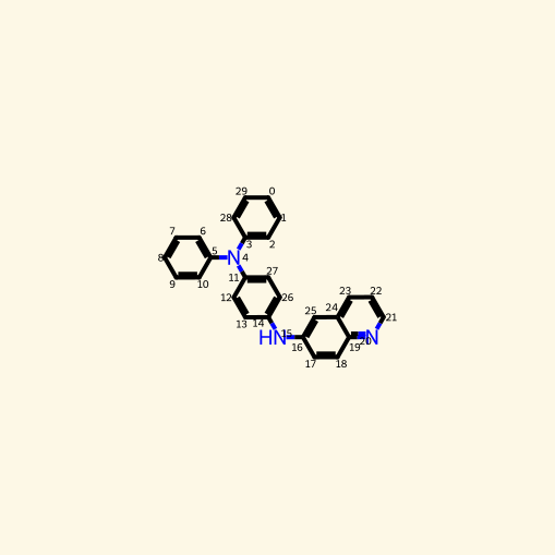 c1ccc(N(c2ccccc2)c2ccc(Nc3ccc4ncccc4c3)cc2)cc1